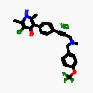 Cc1[nH]c(C)c(-c2ccc(C#CCN(C)Cc3ccc(OC(F)(F)F)cc3)cc2)c(=O)c1Cl.Cl